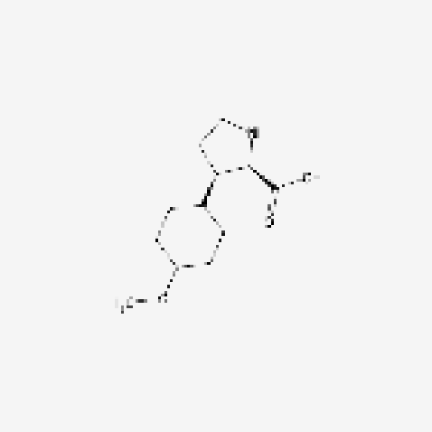 COC1CCC([C@H]2CCN[C@H]2C(=O)O)CC1